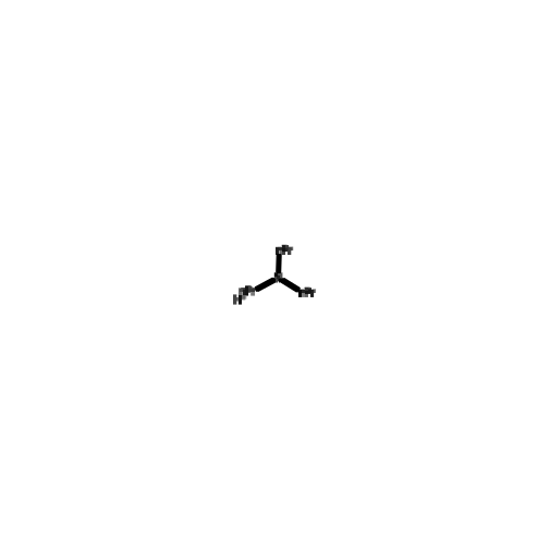 CCCN(CCC)CCC.[H+]